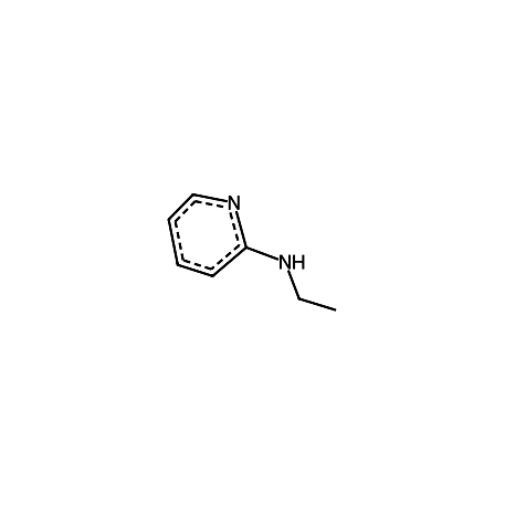 CCNc1ccccn1